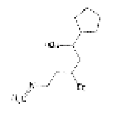 C=NCCC(CC)CC(CCCC)C1CCCC1